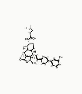 CCOC(=O)N[C@@H]1CC[C@@H]2[C@H](C1)C[C@@H]1C(=O)O[C@H](C)[C@H]1[C@H]2/C=C/c1ccc(-c2cccc(F)c2)cn1